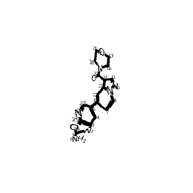 Nc1nc2cc(-c3ccn4ncc(C(=O)N5CCOCC5)c4c3)cnc2o1